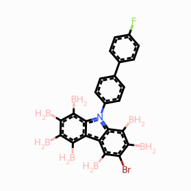 Bc1c(B)c(B)c2c(c1B)c1c(B)c(Br)c(B)c(B)c1n2-c1ccc(-c2ccc(F)cc2)cc1